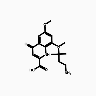 COc1cc(N(C)C(C)(C)CCN)c2[nH]c(C(=O)O)cc(=O)c2c1